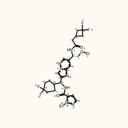 CCOC[C@@H](NC(=O)CC1CC(F)(F)C1)c1cnn2cc([C@@H](NC(=O)c3ccnn3CC)C3CCC(F)(F)CC3)nc2c1